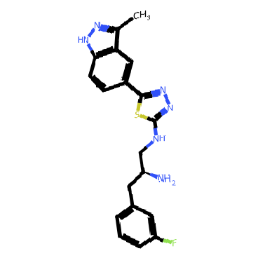 Cc1n[nH]c2ccc(-c3nnc(NC[C@@H](N)Cc4cccc(F)c4)s3)cc12